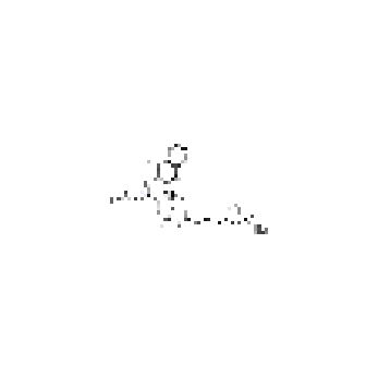 CCCCC(C)(CCC)CCCCCC(=O)OC(C)(C)CC/C(COCC)=N\c1c(N)nc2ccccc2c1C